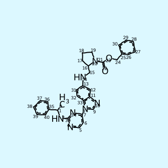 CC(Nc1nccc(-n2cnc3cc(NCC4CCCN4C(=O)OCc4ccccc4)ccc32)n1)c1ccccc1